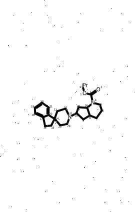 CC(C)OC(=O)N1CCCC2CC(N3CCC4(CCc5ccccc54)CC3)CC21